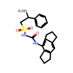 CC(=O)NC(CS(=O)(=O)NC(=O)Nc1c2c(cc3c1CCC3)CCC2)c1ccccc1